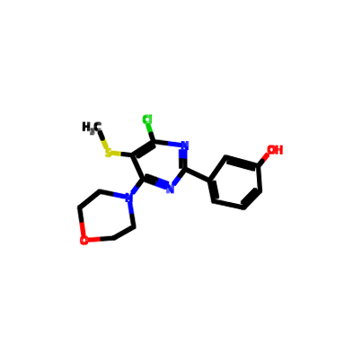 CSc1c(Cl)nc(-c2cccc(O)c2)nc1N1CCOCC1